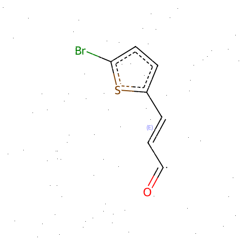 O=[C]/C=C/c1ccc(Br)s1